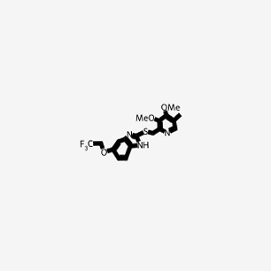 COc1c(C)cnc(CSc2nc3cc(OCC(F)(F)F)ccc3[nH]2)c1OC